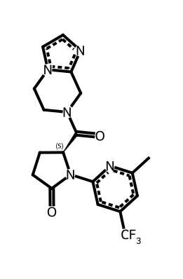 Cc1cc(C(F)(F)F)cc(N2C(=O)CC[C@H]2C(=O)N2CCn3ccnc3C2)n1